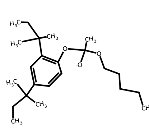 CCCCCOC(C)([O])Oc1ccc(C(C)(C)CC)cc1C(C)(C)CC